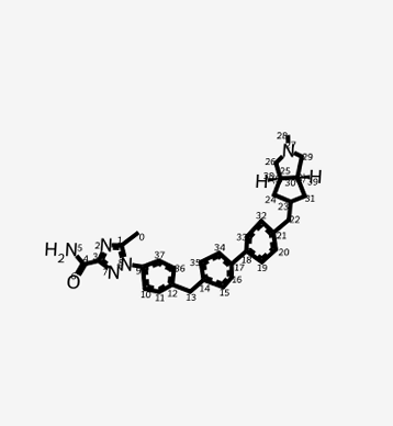 Cc1nc(C(N)=O)nn1-c1ccc(Cc2ccc(-c3ccc(CC4C[C@@H]5CN(C)C[C@@H]5C4)cc3)cc2)cc1